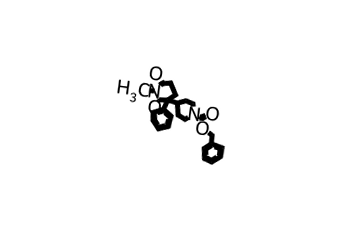 CN1C(=O)CCC(c2ccccc2)(C2CCN(C(=O)OCc3ccccc3)CC2)C1=O